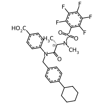 C[C@@H](C(=O)N(Cc1ccc(C2CCCCC2)cc1)c1ccc(C(=O)O)cc1)N(C)S(=O)(=O)c1c(F)c(F)c(F)c(F)c1F